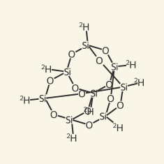 [2H][Si]12O[Si]3([2H])O[Si]4([2H])O[Si]([2H])(O1)O[Si]1([2H])O[Si]([2H])(O2)O[Si]([2H])(O3)O[Si]([2H])(O4)O1